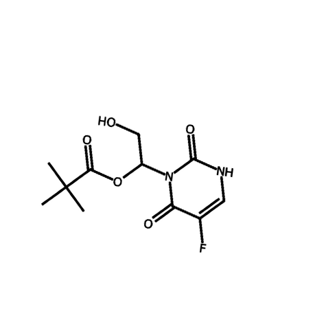 CC(C)(C)C(=O)OC(CO)n1c(=O)[nH]cc(F)c1=O